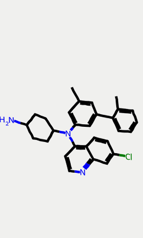 Cc1cc(-c2ccccc2C)cc(N(c2ccnc3cc(Cl)ccc23)C2CCC(N)CC2)c1